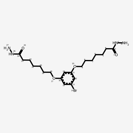 NNC(=O)CCCCCCOc1cc(Br)cc(OCCCCCCC(=O)NN)c1